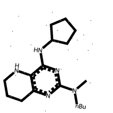 CCCCN(C)c1nc2c(c(NC3CCCC3)n1)NCCC2